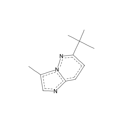 Cc1cnc2ccc(C(C)(C)C)nn12